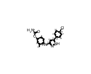 Cc1cc(OC(N)=O)ccc1Nc1cc(-c2ccc(Cl)cc2)[nH]n1